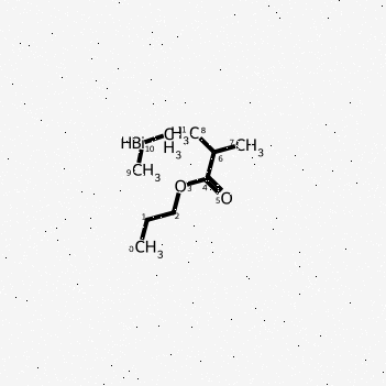 CCCOC(=O)C(C)C.[CH3][BiH][CH3]